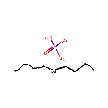 CCC[CH2][Ce][CH2]CCC.O=P(O)(O)O